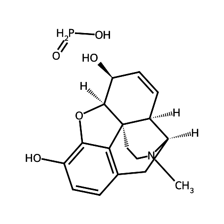 CN1CC[C@]23c4c5ccc(O)c4O[C@H]2[C@@H](O)C=C[C@H]3[C@H]1C5.O=[PH2]O